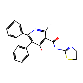 O=C(NC1=NCCS1)c1c(C(F)(F)F)nc(-c2ccccc2)c(-c2ccccc2)c1O